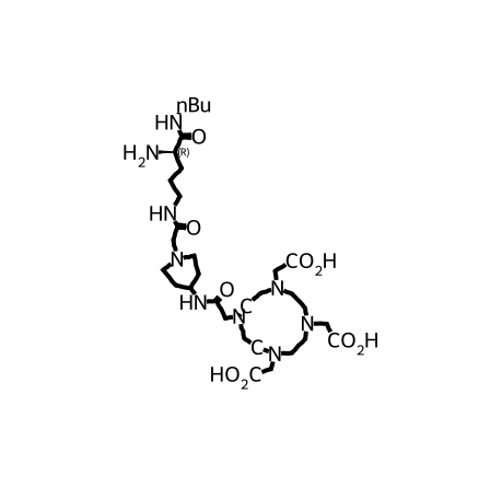 CCCCNC(=O)[C@H](N)CCCNC(=O)CN1CCC(NC(=O)CN2CCN(CC(=O)O)CCN(CC(=O)O)CCN(CC(=O)O)CC2)CC1